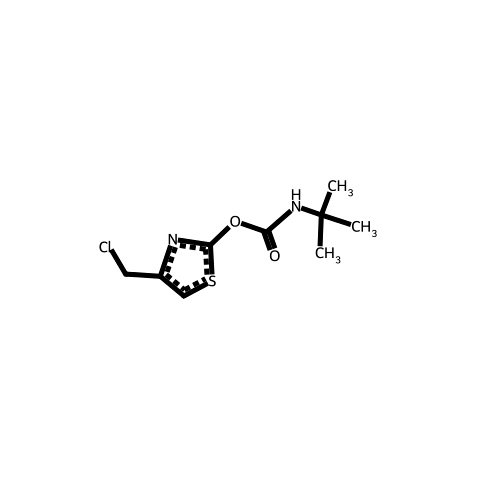 CC(C)(C)NC(=O)Oc1nc(CCl)cs1